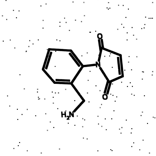 NCc1ccccc1N1C(=O)C=CC1=O